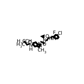 Cc1nn(CC(=O)N(CC(=O)NCc2cccc(Cl)c2F)C2CC2)c2ccc(NC(=O)CC(C)(C)C)cc12